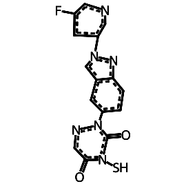 O=c1cnn(-c2ccc3nn(-c4cncc(F)c4)cc3c2)c(=O)n1S